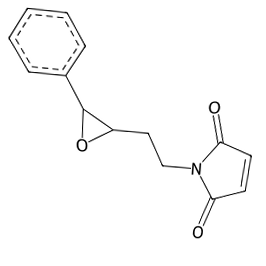 O=C1C=CC(=O)N1CCC1OC1c1ccccc1